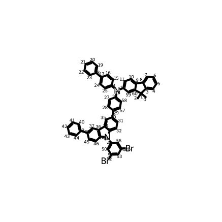 CC1(C)c2ccccc2-c2ccc(N(c3ccc(-c4ccccc4)cc3)c3ccc(-c4ccc5c(c4)c4cc(-c6ccccc6)ccc4n5-c4cc(Br)cc(Br)c4)cc3)cc21